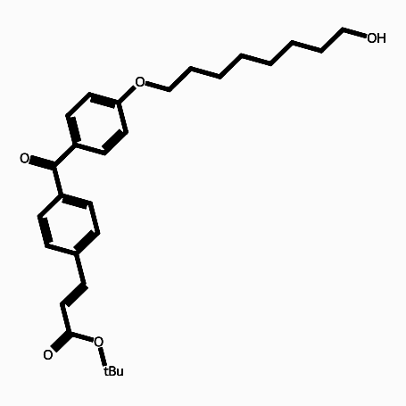 CC(C)(C)OC(=O)C=Cc1ccc(C(=O)c2ccc(OCCCCCCCCO)cc2)cc1